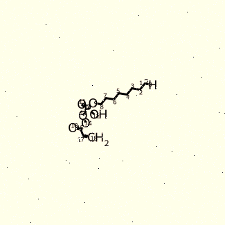 [2H]CCCCCCCCOP(=O)(O)OOC(=O)C=C